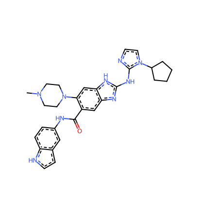 CN1CCN(c2cc3[nH]c(Nc4nccn4C4CCCC4)nc3cc2C(=O)Nc2ccc3[nH]ccc3c2)CC1